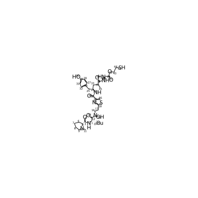 CCC(C)[C@H](NC(=O)[C@H]1CCCCN1C)C(=O)N(O)CCc1nc(C(=O)N[C@@H](Cc2ccc(O)cc2)C[C@H](C)C(=O)NNC(=O)OCCS)cs1